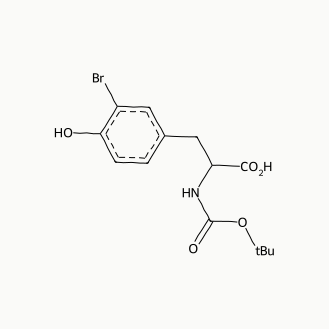 CC(C)(C)OC(=O)NC(Cc1ccc(O)c(Br)c1)C(=O)O